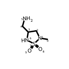 CN1CC(CN)NS1(=O)=O